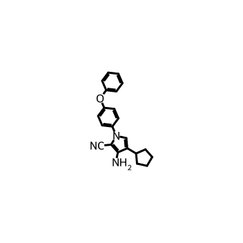 N#Cc1c(N)c(C2CCCC2)cn1-c1ccc(Oc2ccccc2)cc1